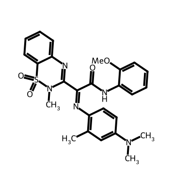 COc1ccccc1NC(=O)/C(=N\c1ccc(N(C)C)cc1C)C1=Nc2ccccc2S(=O)(=O)N1C